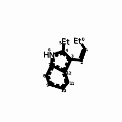 CC/C=C\c1c(CC)[nH]c2ccccc12